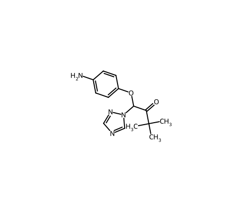 CC(C)(C)C(=O)C(Oc1ccc(N)cc1)n1cncn1